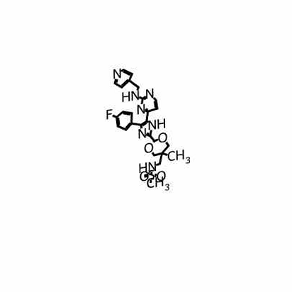 CC1(CNS(C)(=O)=O)COC(c2nc(-c3ccc(F)cc3)c(-c3ccnc(NCc4ccncc4)n3)[nH]2)OC1